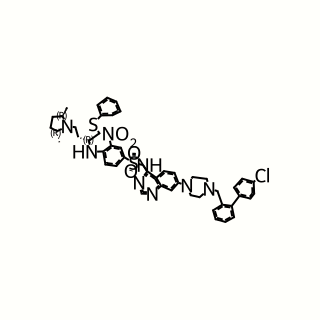 C[C@@H]1CC[C@@H](C)N1CC[C@H](CSc1ccccc1)Nc1ccc(S(=O)(=O)Nc2ncnc3cc(N4CCN(Cc5ccccc5-c5ccc(Cl)cc5)CC4)ccc23)cc1[N+](=O)[O-]